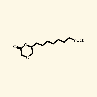 CCCCCCCCCCCCCCCC1COCC(=O)O1